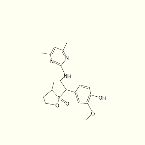 COc1cc(C(CNc2nc(C)cc(C)n2)P2(=O)OCCC2C)ccc1O